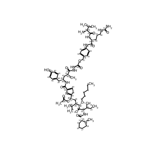 CCCCCCON(C(=O)[C@@H](NC(=O)[C@H]1CCCCN1C)C(C)CC)[C@H](C[C@@H](OC(C)=O)c1nc(C(=O)N[C@@H](Cc2ccc(O)cc2)C[C@H](C)C(=O)NNC(=O)OCc2ccc(NC(=O)[C@H](CCCNC(N)=O)NC(=O)[C@@H](N)C(C)C)cc2)cs1)C(C)C